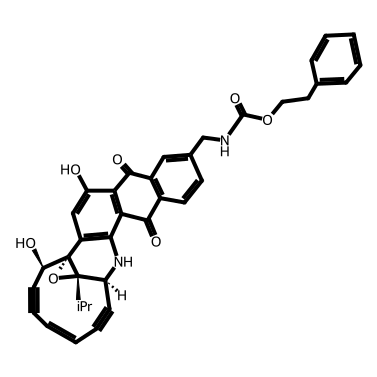 CC(C)[C@@]12O[C@]13c1cc(O)c4c(c1N[C@H]2C#C/C=C\C#C[C@H]3O)C(=O)c1ccc(CNC(=O)OCCc2ccccc2)cc1C4=O